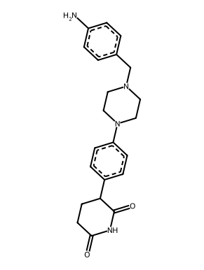 Nc1ccc(CN2CCN(c3ccc(C4CCC(=O)NC4=O)cc3)CC2)cc1